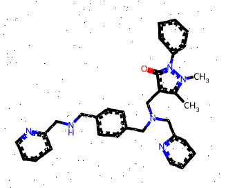 Cc1c(CN(Cc2ccc(CNCc3ccccn3)cc2)Cc2ccccn2)c(=O)n(-c2ccccc2)n1C